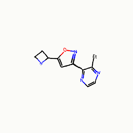 CCc1nccnc1-c1cc(C2CC[N]2)on1